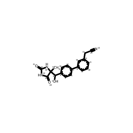 CC1(C(O)c2ccc(-c3cccc(CC#N)c3)cc2)NC(=O)NC1=O